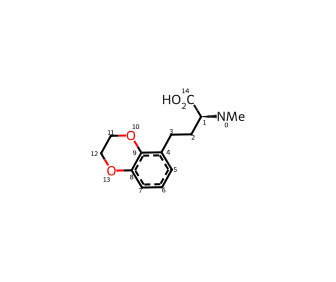 CN[C@@H](CCc1cccc2c1OCCO2)C(=O)O